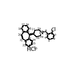 Cl.Clc1ccccc1CN1CCC(=C2c3ccccc3C=Cc3ccccc32)CC1